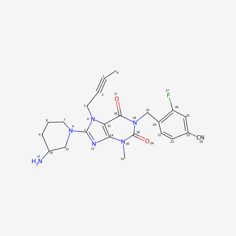 CC#CCn1c(N2CCCC(N)C2)nc2c1c(=O)n(Cc1ccc(C#N)cc1F)c(=O)n2C